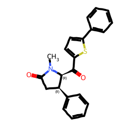 CN1C(=O)C[C@H](c2ccccc2)[C@@H]1C(=O)c1ccc(-c2ccccc2)s1